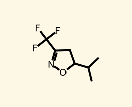 CC(C)C1CC(C(F)(F)F)=NO1